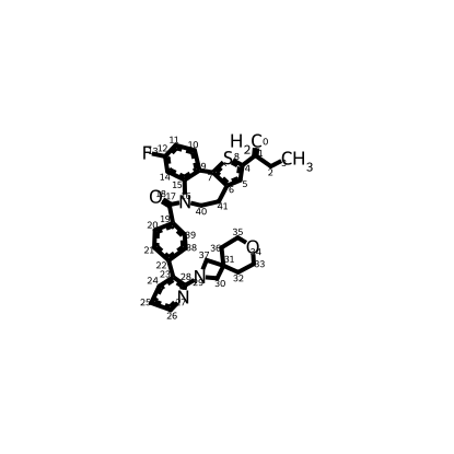 C=C(CC)c1cc2c(s1)-c1ccc(F)cc1N(C(=O)c1ccc(-c3cccnc3N3CC4(CCOCC4)C3)cc1)CC2